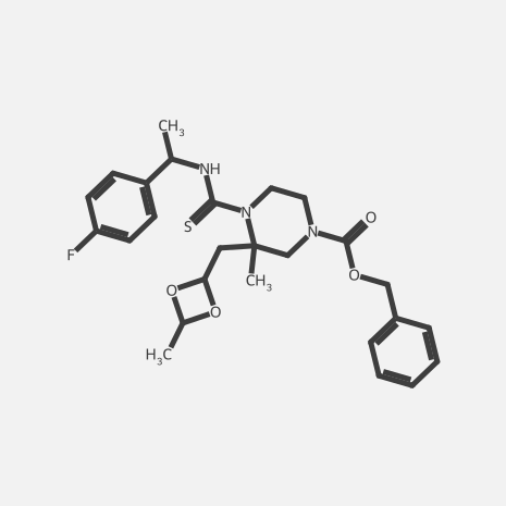 CC1OC(CC2(C)CN(C(=O)OCc3ccccc3)CCN2C(=S)NC(C)c2ccc(F)cc2)O1